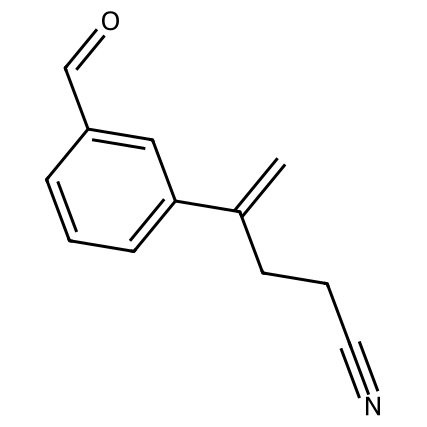 C=C(CCC#N)c1cccc(C=O)c1